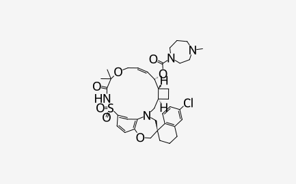 CN1CCCN(C(=O)O[C@H]2C=CCOC(C)(C)C(=O)NS(=O)(=O)c3ccc4c(c3)N(C[C@@H]3CC[C@H]32)C[C@@]2(CCCc3cc(Cl)ccc32)CO4)CC1